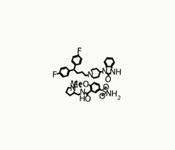 CCN1CCCC1CNC(=O)c1cc(S(N)(=O)=O)ccc1OC.O=c1[nH]c2ccccc2n1C1CCN(CCCC(c2ccc(F)cc2)c2ccc(F)cc2)CC1